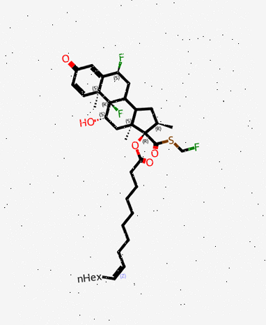 CCCCCC/C=C\CCCCCCCC(=O)O[C@]1(C(=O)SCF)[C@H](C)CC2C3C[C@H](F)C4=CC(=O)C=C[C@]4(C)[C@@]3(F)[C@@H](O)C[C@@]21C